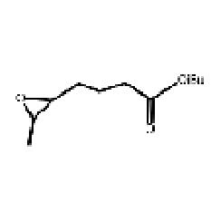 CC(C)COC(=O)CCCC1OC1C